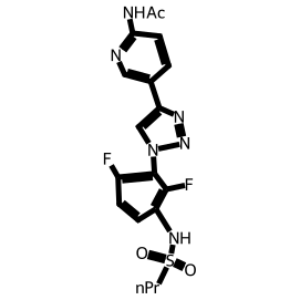 CCCS(=O)(=O)Nc1ccc(F)c(-n2cc(-c3ccc(NC(C)=O)nc3)nn2)c1F